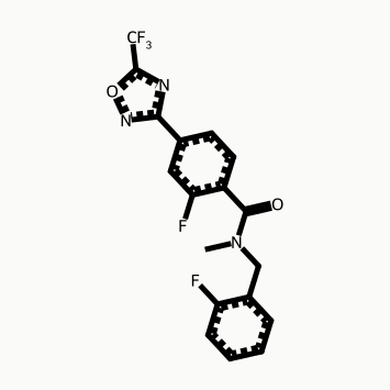 CN(Cc1ccccc1F)C(=O)c1ccc(-c2noc(C(F)(F)F)n2)cc1F